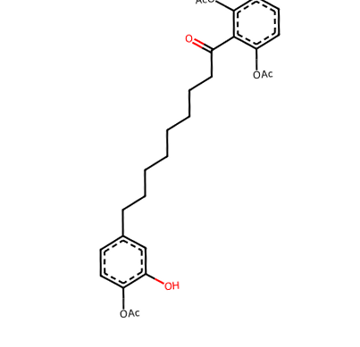 CC(=O)Oc1ccc(CCCCCCCCC(=O)c2c(OC(C)=O)cccc2OC(C)=O)cc1O